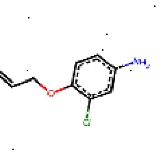 C=CCOc1ccc(N)cc1Cl